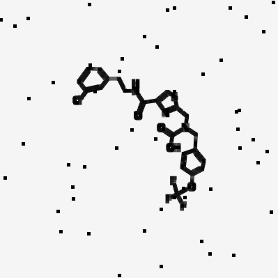 O=C(NCCc1cccc(Cl)c1)c1csc(CN(Cc2ccc(OC(F)(F)F)cc2)C(=O)O)n1